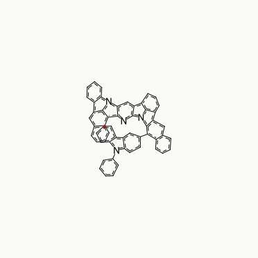 c1ccc(-n2c3ccccc3c3cc(-c4c5ccccc5cc5c6cccc7c8cc9c(nc8n(c45)c76)c4c5ccccc5cc5c6ccccc6n9c54)ccc32)cc1